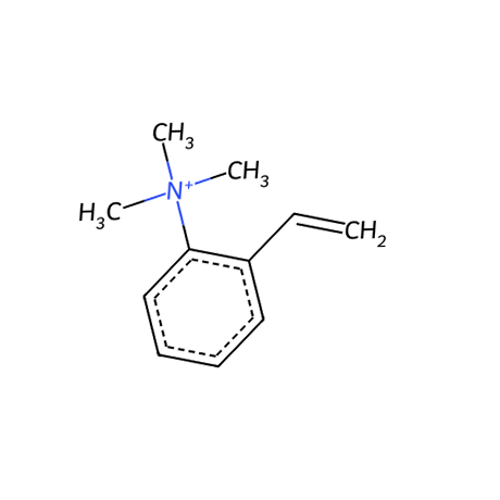 C=Cc1ccccc1[N+](C)(C)C